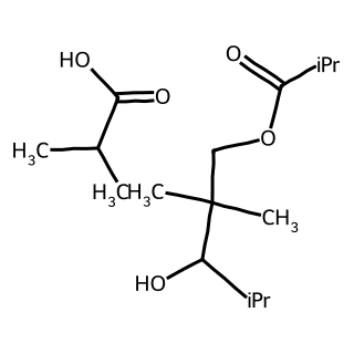 CC(C)C(=O)O.CC(C)C(=O)OCC(C)(C)C(O)C(C)C